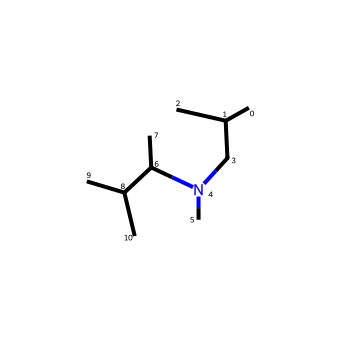 CC(C)CN(C)C(C)C(C)C